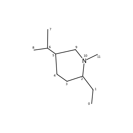 CCC1CCC(C(C)C)CN1C